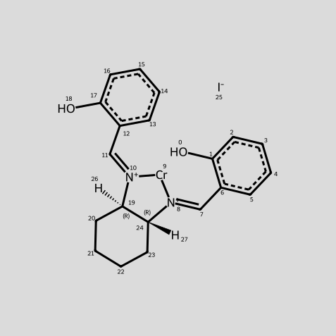 Oc1ccccc1C=[N+]1[Cr][N+](=Cc2ccccc2O)[C@@H]2CCCC[C@H]21.[I-]